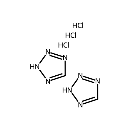 Cl.Cl.Cl.c1nn[nH]n1.c1nn[nH]n1